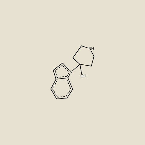 OC1(n2ccc3ccccc32)CCNCC1